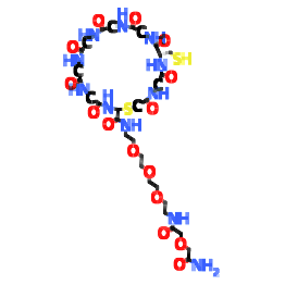 NC(=O)COCC(=O)NCCOCCOCCOCCNC(=O)C1NC(=O)CNC(=O)CNC(=O)CNC(=O)CNC(=O)CNC(=O)[C@H](CS)NC(=O)CNC(=O)CS1